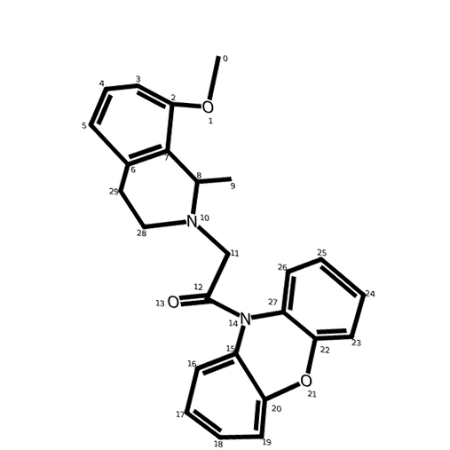 COc1cccc2c1C(C)N(CC(=O)N1c3ccccc3Oc3ccccc31)CC2